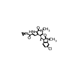 CN1C(=O)[C@@]2(C[C@H]2c2cn(C)c(=O)c3[nH]c(C(=O)NC4CC4)cc23)c2ccc(Cl)cc21